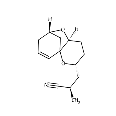 C[C@@H](C#N)C[C@H]1CC[C@@H]2O[C@H]3CC=CC2(C3)O1